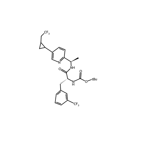 C[C@@H](NC(=O)[C@@H](Cc1cccc(C(F)(F)F)c1)NC(=O)OC(C)(C)C)c1ccc(C2CC2CC(F)(F)F)cn1